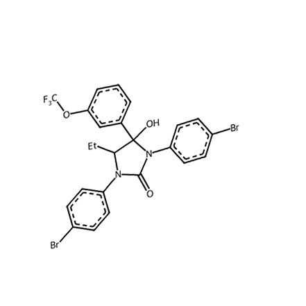 CCC1N(c2ccc(Br)cc2)C(=O)N(c2ccc(Br)cc2)C1(O)c1cccc(OC(F)(F)F)c1